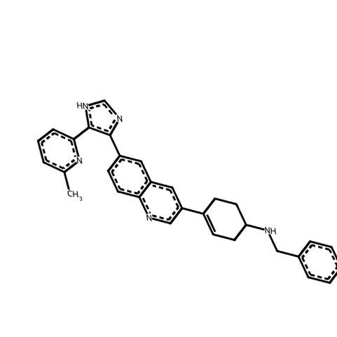 Cc1cccc(-c2[nH]cnc2-c2ccc3ncc(C4=CCC(NCc5ccccc5)CC4)cc3c2)n1